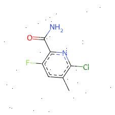 Cc1cc(F)c(C(N)=O)nc1Cl